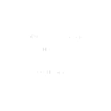 CC=C(C)C(=O)O.CCCCC=CC(=O)O